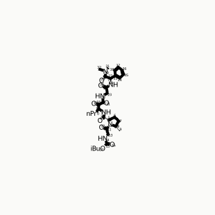 CCCC(NC(=O)[C@@H]1CC[C@H](C)N1C(=O)CNC(=O)OCC(C)C)C(=O)C(=O)NCC(=O)N[C@H](C(=O)N(C)C)c1ccccc1